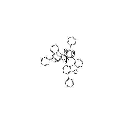 c1ccc(-c2nc(-c3ccccc3)nc(-c3cccc4oc5c(-c6ccccc6)ccc(-n6c7ccccc7c7c8ccccc8c(-c8ccccc8)cc76)c5c34)n2)cc1